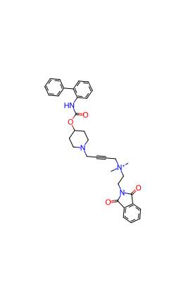 C[N+](C)(CC#CCN1CCC(OC(=O)Nc2ccccc2-c2ccccc2)CC1)CCN1C(=O)c2ccccc2C1=O